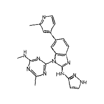 CNc1nc(C)nc(-n2c(Nc3cc[nH]n3)nc3ccc(-c4ccnc(C)c4)cc32)n1